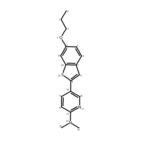 CCCOc1ccc2cc(-c3ccc(N(C)C)nc3)sc2c1